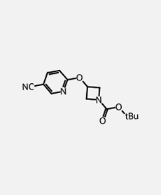 CC(C)(C)OC(=O)N1CC(Oc2ccc(C#N)cn2)C1